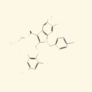 CCOC(=O)c1c(CSc2c(C)cc(C)cc2C)n(Cc2ccc(C)cc2)c2cc(Br)c(O)cc12